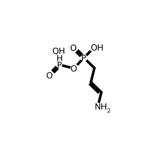 NC=CCP(=O)(O)O[PH](=O)O